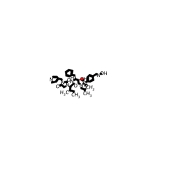 CC[C@H](C)[C@@H](C(=O)N[C@@H](Cc1ccccc1)[C@H](O)CN(CC(C)C)S(=O)(=O)c1ccc(C=NO)cc1)N1CC(=O)N(Cc2ccncc2)C1=O